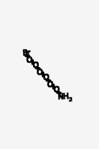 NCCOCCOCCOCCOCCOCCOCCBr